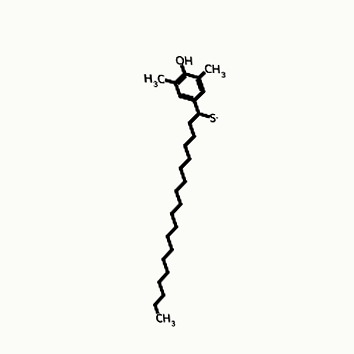 CCCCCCCCCCCCCCCCCCC([S])c1cc(C)c(O)c(C)c1